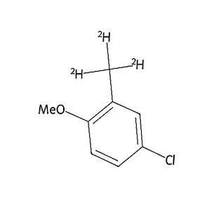 [2H]C([2H])([2H])c1cc(Cl)ccc1OC